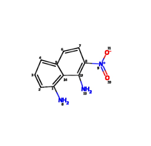 Nc1cccc2ccc([N+](=O)[O-])c(N)c12